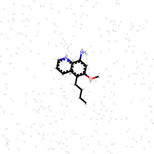 CCCCc1c(OC)cc(N)c2ncccc12